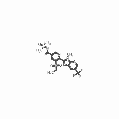 CCS(=O)(=O)c1cc(C(=O)N=S(C)(C)=O)cnc1-c1nc2cc(C(F)(F)F)cnc2n1C